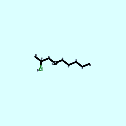 CCCCC[Si]CC(C)Cl